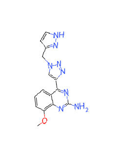 COc1cccc2c(-c3cn(Cc4cc[nH]n4)nn3)nc(N)nc12